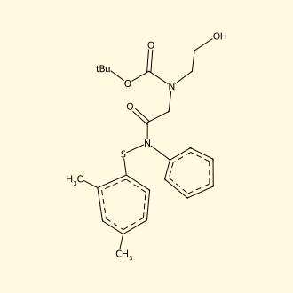 Cc1ccc(SN(C(=O)CN(CCO)C(=O)OC(C)(C)C)c2ccccc2)c(C)c1